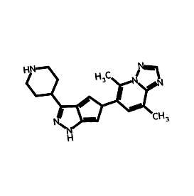 Cc1cc(C2C=c3[nH]nc(C4CCNCC4)c3=C2)c(C)n2ncnc12